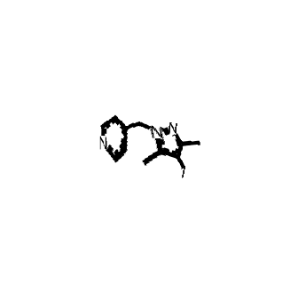 Cc1nn(Cc2ccncc2)c(C)c1I